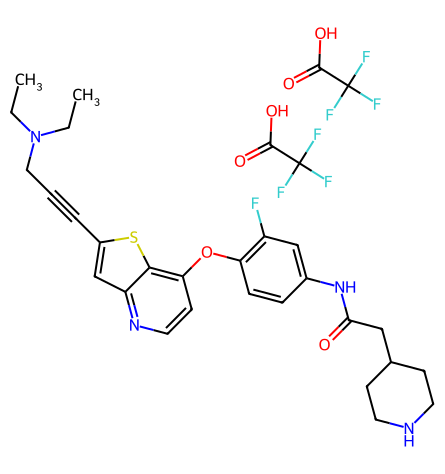 CCN(CC)CC#Cc1cc2nccc(Oc3ccc(NC(=O)CC4CCNCC4)cc3F)c2s1.O=C(O)C(F)(F)F.O=C(O)C(F)(F)F